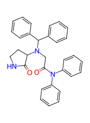 O=C1NCCC1N(CC(=O)N(c1ccccc1)c1ccccc1)C(c1ccccc1)c1ccccc1